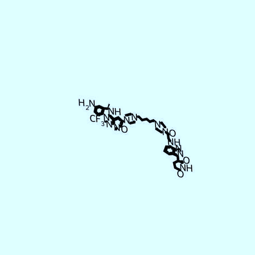 C[C@@H](Nc1ncnc2c1cc(N1CCN(CCCCCN3CCN(C(=O)CNc4cccc5c(C6CCC(=O)NC6=O)nn(C)c45)CC3)CC1)c(=O)n2C)c1cc(N)cc(C(F)(F)F)c1